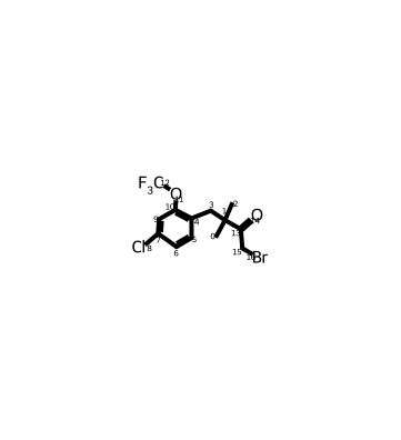 CC(C)(Cc1ccc(Cl)cc1OC(F)(F)F)C(=O)CBr